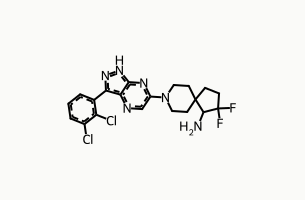 NC1C(F)(F)CCC12CCN(c1cnc3c(-c4cccc(Cl)c4Cl)n[nH]c3n1)CC2